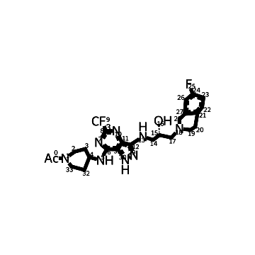 CC(=O)N1CCC(Nc2nc(C(F)(F)F)nc3c(NC[C@H](O)CN4CCc5ccc(F)cc5C4)n[nH]c23)CC1